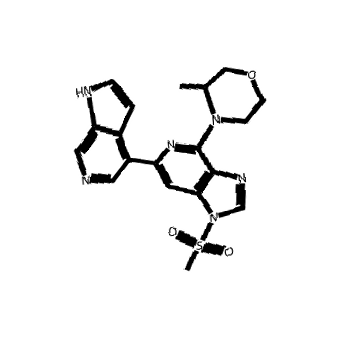 CC1COCCN1c1nc(-c2cncc3[nH]ccc23)cc2c1ncn2S(C)(=O)=O